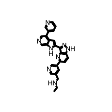 CCNCc1cncc(-c2ccc3[nH]nc(-c4cc5c(-c6cccnc6)cncc5[nH]4)c3n2)c1